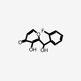 O=c1ccoc(C(O)c2ccccc2F)c1O